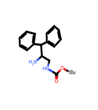 CC(C)(C)OC(=O)NCC(N)C(c1ccccc1)c1ccccc1